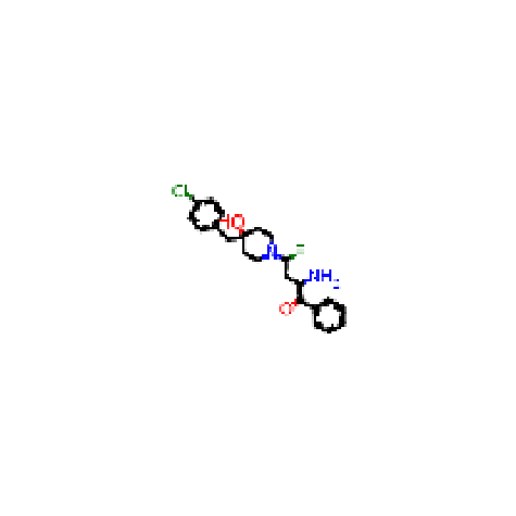 NC(CC(F)N1CCC(O)(Cc2ccc(Cl)cc2)CC1)C(=O)c1ccccc1